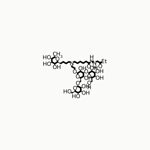 CCC(=O)CNNC(=O)CCCCCN(CCCC[C@@H]1O[C@@H](C)[C@@H](O)[C@@H](O)[C@@H]1O)CCO[C@H]1O[C@H](CO[C@H]2O[C@H](CO)[C@@H](O)[C@H](O)[C@@H]2O)[C@@H](O)[C@H](O[C@H]2O[C@H](CO)[C@@H](O)[C@H](O)[C@@H]2O)[C@@H]1O